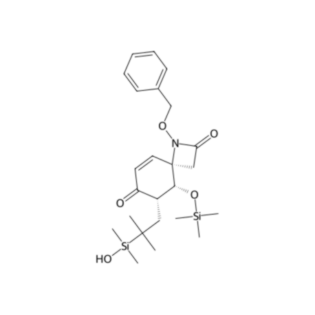 CC(C)(C[C@@H]1C(=O)C=C[C@]2(CC(=O)N2OCc2ccccc2)[C@@H]1O[Si](C)(C)C)[Si](C)(C)O